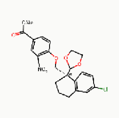 COC(=O)c1ccc(OC[C@@]2(C3OCCO3)CCCc3cc(Cl)ccc32)c([N+](=O)[O-])c1